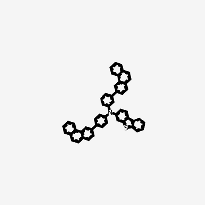 c1cc(-c2ccc3ccc4ccccc4c3c2)cc(N(c2ccc(-c3ccc4ccc5ccccc5c4c3)cc2)c2ccc3c(c2)sc2ccccc23)c1